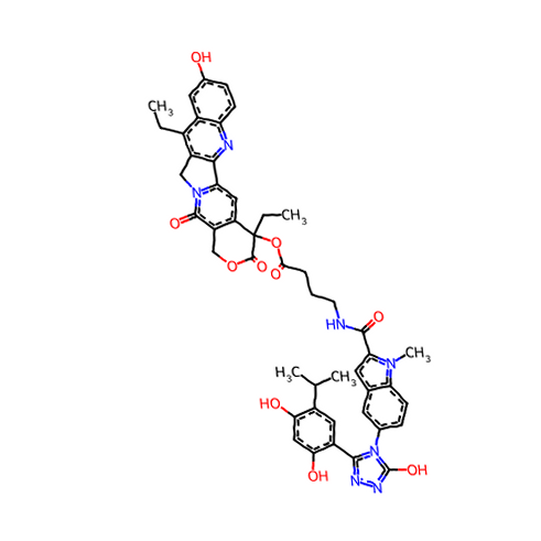 CCc1c2c(nc3ccc(O)cc13)-c1cc3c(c(=O)n1C2)COC(=O)C3(CC)OC(=O)CCCNC(=O)c1cc2cc(-n3c(O)nnc3-c3cc(C(C)C)c(O)cc3O)ccc2n1C